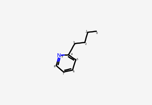 C[CH]CCc1ccccn1